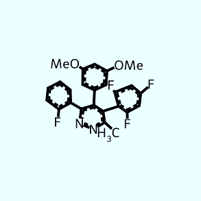 COc1cc(OC)cc(-c2c(-c3ccccc3F)nnc(C)c2-c2c(F)cc(F)cc2F)c1